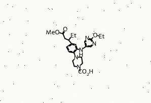 CCOc1ncc(Nc2cc(C(CC)CC(=O)OC)ccc2N2CCN(C(=O)O)CC2)cn1